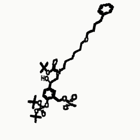 CC(C)(C)OC(=O)N(CCCCCCOCCCCc1ccccc1)C[C@@H](O)c1ccc(OP(=O)(OC(C)(C)C)OC(C)(C)C)c(COS(C)(=O)=O)c1